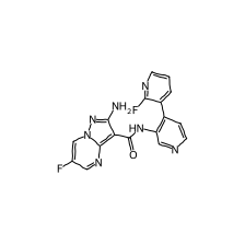 Nc1nn2cc(F)cnc2c1C(=O)Nc1cnccc1-c1cccnc1F